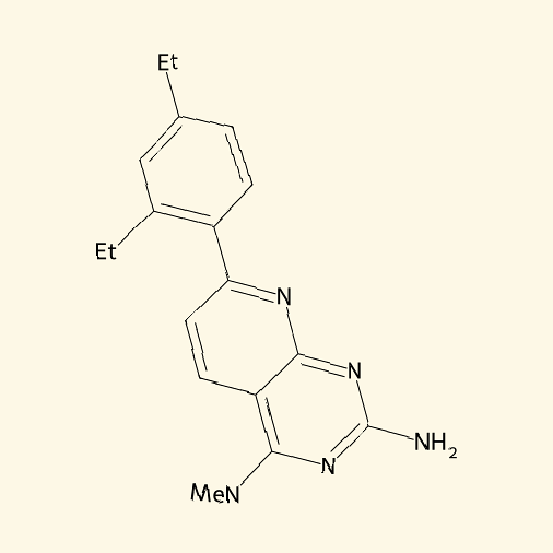 CCc1ccc(-c2ccc3c(NC)nc(N)nc3n2)c(CC)c1